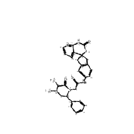 CC1C(=O)N(CC(=O)Nc2ccc3c(c2)CC2(C3)OC(=O)Nc3ncccc32)C(c2ccccc2)CN1C